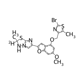 [2H]C1(C)Nn2cc(-c3cc4c(OCc5nc(Br)sc5C)cc(OC)cc4o3)nc2S1